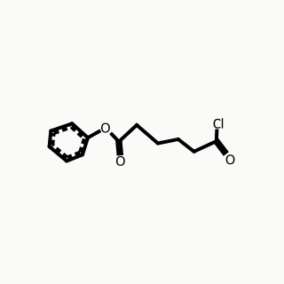 O=C(Cl)CCCCC(=O)Oc1ccccc1